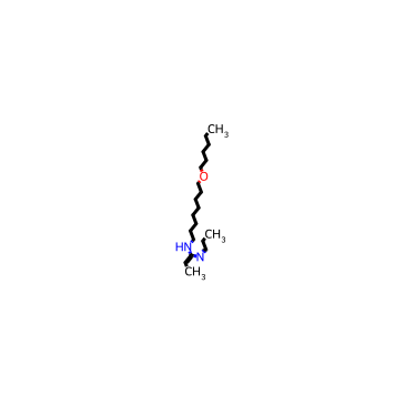 C/C=C(\N=C/CC)NCCCCCCCCOCCCCCC